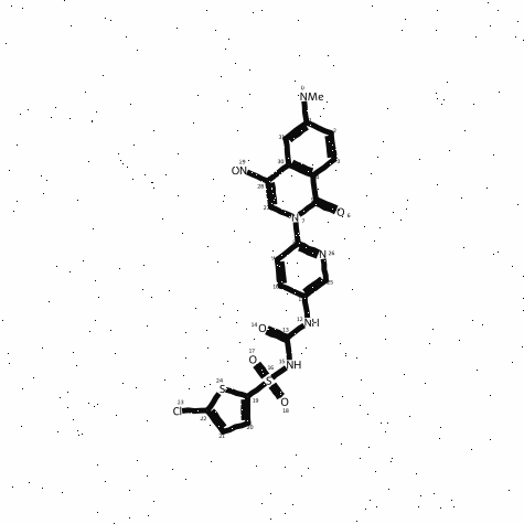 CNc1ccc2c(=O)n(-c3ccc(NC(=O)NS(=O)(=O)c4ccc(Cl)s4)cn3)cc(N=O)c2c1